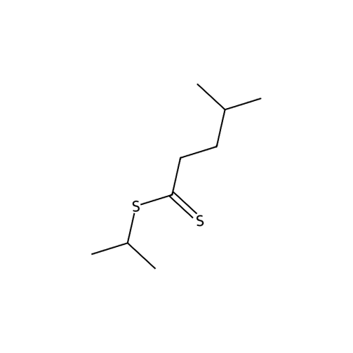 CC(C)CCC(=S)SC(C)C